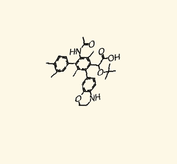 CC(=O)Nc1c(C)c(C(OC(C)(C)C)C(=O)O)c(-c2ccc3c(c2)OCCN3)c(C)c1-c1ccc(C)c(C)c1